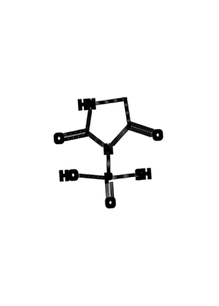 O=C1CNC(=O)N1P(=O)(O)S